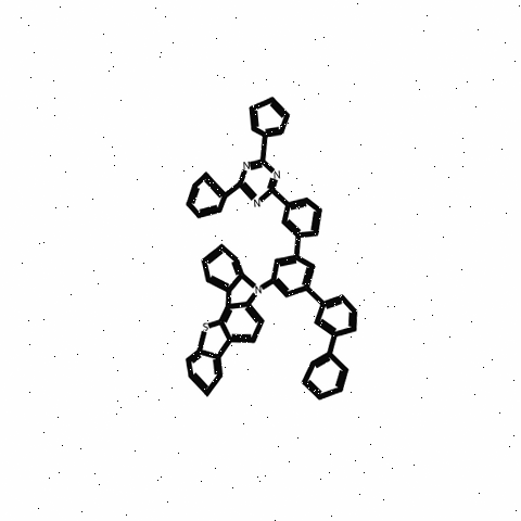 c1ccc(-c2cccc(-c3cc(-c4cccc(-c5nc(-c6ccccc6)nc(-c6ccccc6)n5)c4)cc(-n4c5ccccc5c5c6sc7ccccc7c6ccc54)c3)c2)cc1